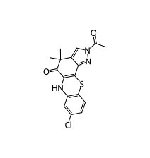 CC(=O)n1cc2c(n1)C1=C(Nc3cc(Cl)ccc3S1)C(=O)C2(C)C